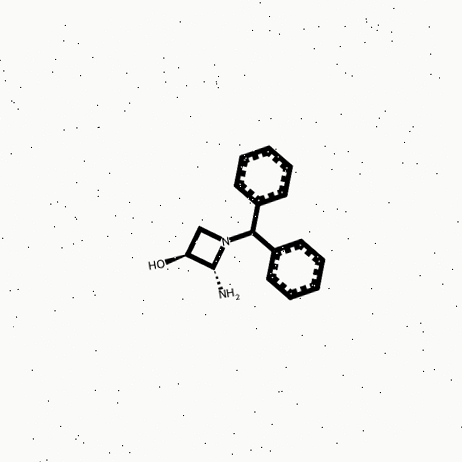 N[C@@H]1[C@@H](O)CN1C(c1ccccc1)c1ccccc1